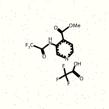 COC(=O)c1ccncc1NC(=O)C(F)(F)F.O=C(O)C(F)(F)F